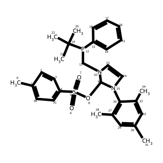 Cc1ccc(S(=O)(=O)OC2N(CP(c3ccccc3)C(C)(C)C)C=CN2c2c(C)cc(C)cc2C)cc1